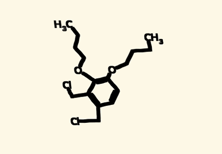 CCCCOc1ccc(CCl)c(CCl)c1OCCCC